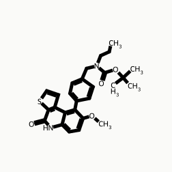 CCCN(Cc1ccc(-c2c(OC)ccc3[nH]c(=O)c4sccc4c23)cc1)C(=O)OC(C)(C)C